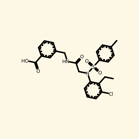 CCc1c(Cl)cccc1N(CC(=O)NCc1cccc(C(=O)O)c1)S(=O)(=O)c1ccc(C)cc1